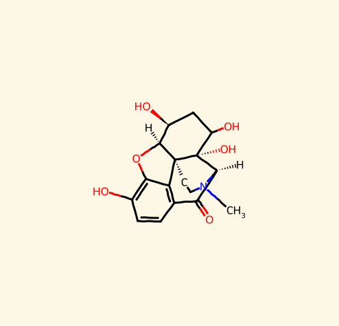 CN1CC[C@]23c4c5ccc(O)c4O[C@H]2[C@@H](O)CC(O)[C@@]3(O)[C@H]1C5=O